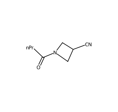 CCCC(=O)N1CC(C#N)C1